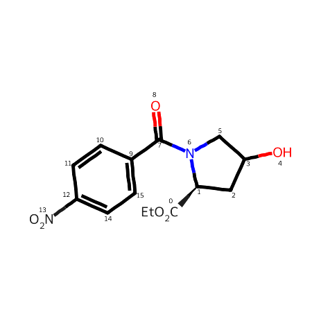 CCOC(=O)[C@@H]1CC(O)CN1C(=O)c1ccc([N+](=O)[O-])cc1